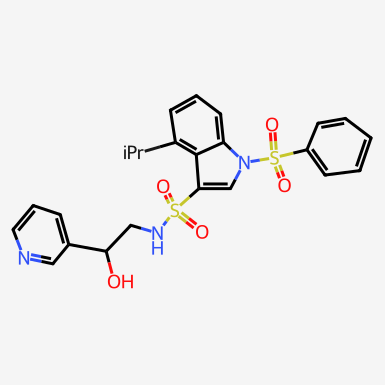 CC(C)c1cccc2c1c(S(=O)(=O)NCC(O)c1cccnc1)cn2S(=O)(=O)c1ccccc1